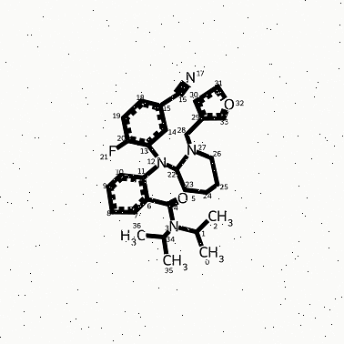 CC(C)N(C(=O)c1ccccc1N(c1cc(C#N)ccc1F)C1CCCCN1Cc1ccoc1)C(C)C